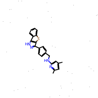 Cc1cc(C)nc(NCc2ccc(-c3n[nH]c4c3sc3ccccc34)cc2)c1